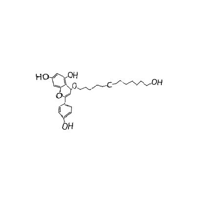 OCCCCCCCCCCCCCOC1C=C(c2ccc(O)cc2)Oc2cc(O)cc(O)c21